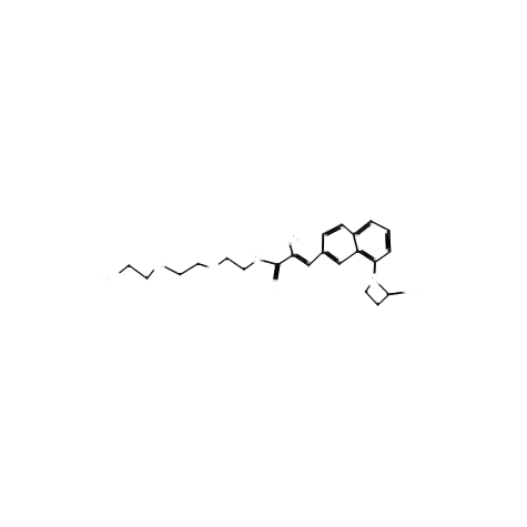 CC1CCN1c1cccc2ccc(/C=C(\C#N)C(=O)NCCOCCOCCO)cc12